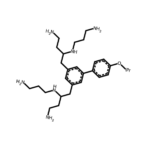 CC(C)Oc1ccc(-c2cc(CC(CCN)NCCCN)cc(CC(CCN)NCCCN)c2)cc1